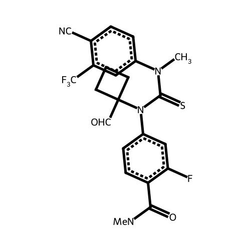 CNC(=O)c1ccc(N(C(=S)N(C)c2ccc(C#N)c(C(F)(F)F)c2)C2(C=O)CCC2)cc1F